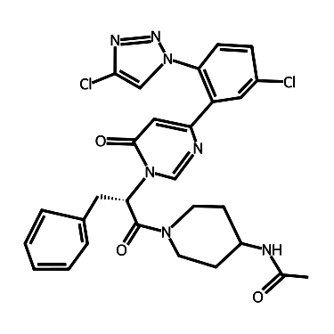 CC(=O)NC1CCN(C(=O)[C@H](Cc2ccccc2)n2cnc(-c3cc(Cl)ccc3-n3cc(Cl)nn3)cc2=O)CC1